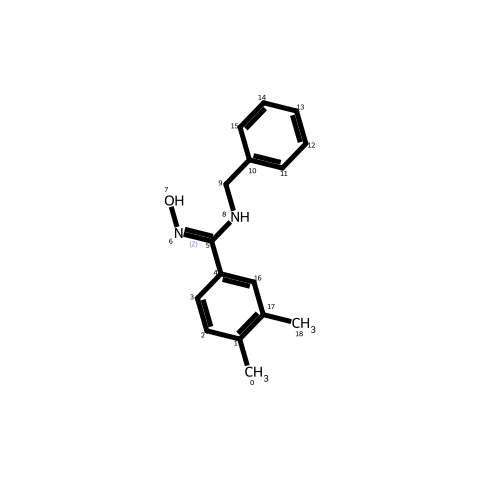 Cc1ccc(/C(=N/O)NCc2ccccc2)cc1C